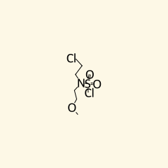 COCCN(CCCl)S(=O)(=O)Cl